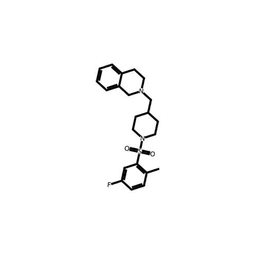 Cc1ccc(F)cc1S(=O)(=O)N1CCC(CN2CCc3ccccc3C2)CC1